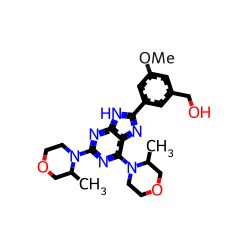 COc1cc(CO)cc(-c2nc3c(N4CCOCC4C)nc(N4CCOCC4C)nc3[nH]2)c1